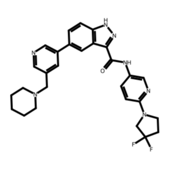 O=C(Nc1ccc(N2CCC(F)(F)C2)nc1)c1n[nH]c2ccc(-c3cncc(CN4CCCCC4)c3)cc12